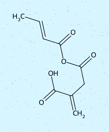 C=C(CC(=O)OC(=O)C=CC)C(=O)O